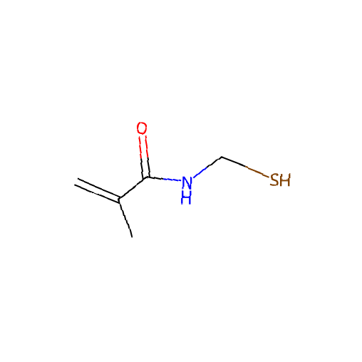 C=C(C)C(=O)NCS